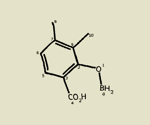 BOc1c(C(=O)O)ccc(C)c1C